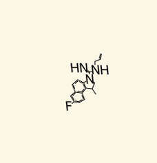 C=CCNC(=N)N1CC(C)c2c1ccc1cc(F)ccc21